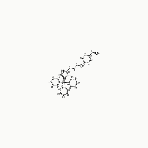 O=Cc1ccc(OCCCc2cn(C(c3ccccc3)(c3ccccc3)c3ccccc3)cn2)cc1